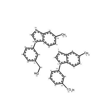 Cc1ccc2c(c1)ncn2-c1cccc(C(=O)O)c1.Cc1ccc2c(c1)ncn2-c1cccc(CO)c1